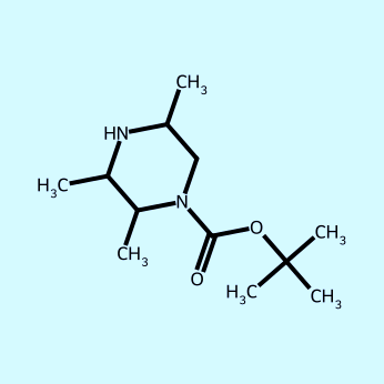 CC1CN(C(=O)OC(C)(C)C)C(C)C(C)N1